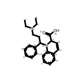 CCN(CC)CCC(c1ccccc1)N1c2ccccc2C=CC1C(=O)O